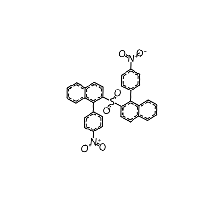 O=[N+]([O-])c1ccc(-c2c(S(=O)(=O)c3ccc4ccccc4c3-c3ccc([N+](=O)[O-])cc3)ccc3ccccc23)cc1